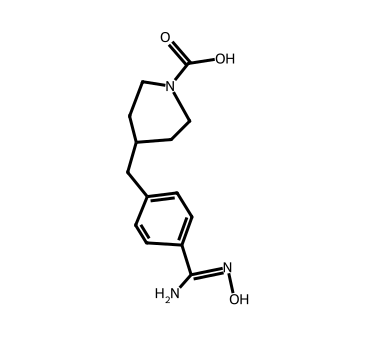 N/C(=N\O)c1ccc(CC2CCN(C(=O)O)CC2)cc1